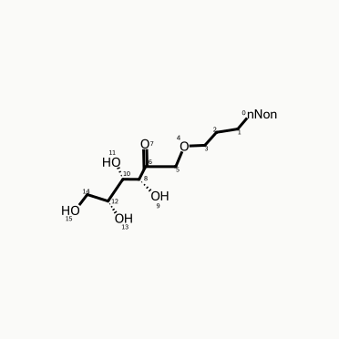 CCCCCCCCCCCCOCC(=O)[C@H](O)[C@@H](O)[C@H](O)CO